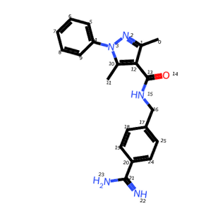 Cc1nn(-c2ccccc2)c(C)c1C(=O)NCc1ccc(C(=N)N)cc1